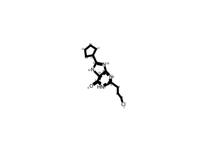 O=c1[nH]c(CCCCl)nc2c1[N]C(C1CCCC1)=N2